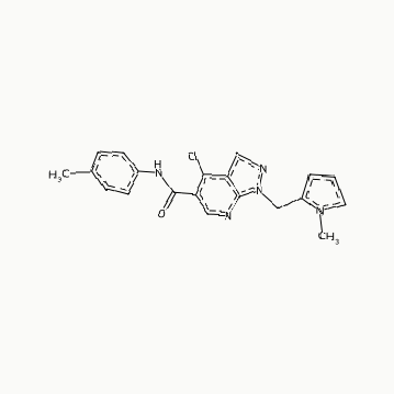 Cc1ccc(NC(=O)c2cnc3c(cnn3Cc3cccn3C)c2Cl)cc1